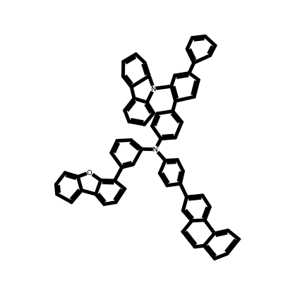 c1ccc(-c2ccc(-c3ccc(N(c4ccc(-c5ccc6c(ccc7ccccc76)c5)cc4)c4cccc(-c5cccc6c5oc5ccccc56)c4)cc3)c(-n3c4ccccc4c4ccccc43)c2)cc1